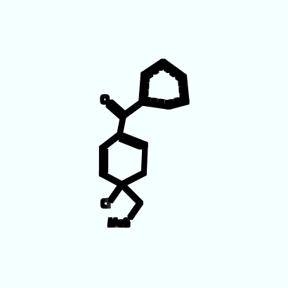 CSCC1(Cl)C=CC(C(=O)c2ccccc2)=CC1